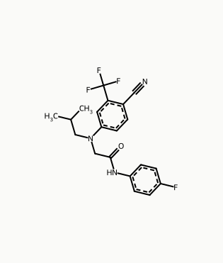 CC(C)CN(CC(=O)Nc1ccc(F)cc1)c1ccc(C#N)c(C(F)(F)F)c1